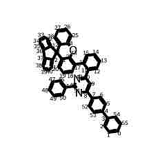 c1ccc(-c2ccc(-c3cc(-c4ccccc4-c4cccc5c4Oc4ccccc4C54c5ccccc5-c5ccccc54)nc(-c4ccccc4)n3)cc2)cc1